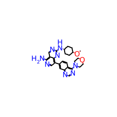 CO[C@H]1CC[C@H](Nc2ncc3c(N)ncc(-c4ccc5c(N6CCOCC6)ncnc5c4)c3n2)CC1